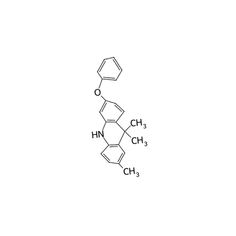 Cc1ccc2c(c1)C(C)(C)c1ccc(Oc3ccccc3)cc1N2